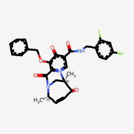 C[C@H]1C=CC(=O)[C@@]2(C)CN1C(=O)c1c(OCc3ccccc3)c(=O)c(C(=O)NCc3ccc(F)cc3F)cn12